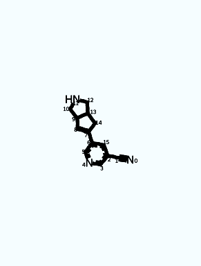 N#Cc1cncc(C2=CC3CNCC3C2)c1